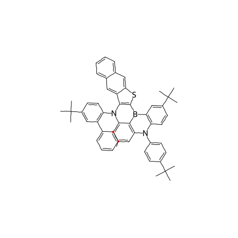 Cc1cc2c3c(c1)N(c1ccc(C(C)(C)C)cc1-c1ccccc1)c1c(sc4cc5ccccc5cc14)B3c1cc(C(C)(C)C)ccc1N2c1ccc(C(C)(C)C)cc1